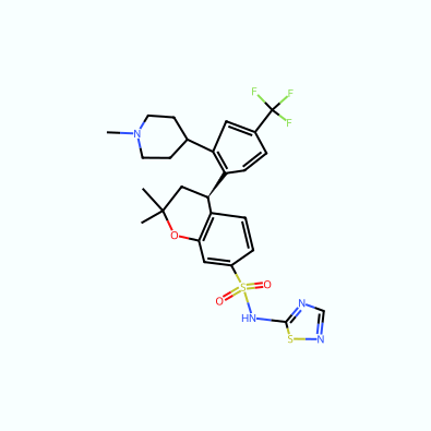 CN1CCC(c2cc(C(F)(F)F)ccc2[C@@H]2CC(C)(C)Oc3cc(S(=O)(=O)Nc4ncns4)ccc32)CC1